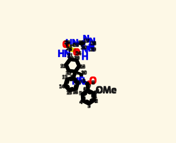 COc1ccccc1C(=O)NC[C@]1(c2ccccc2)CC[C@H](NS(=O)(=O)Nc2nnn[nH]2)CC1